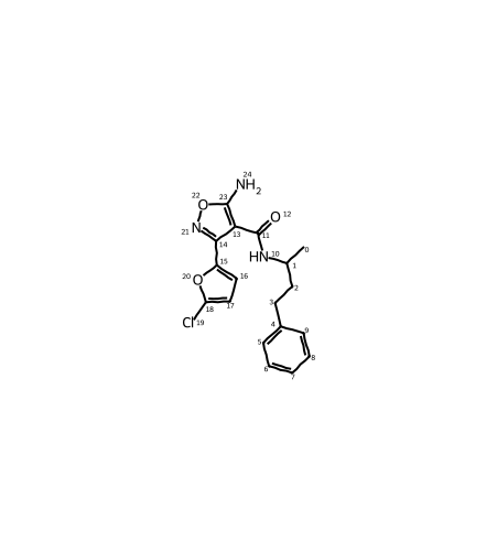 CC(CCc1ccccc1)NC(=O)c1c(-c2ccc(Cl)o2)noc1N